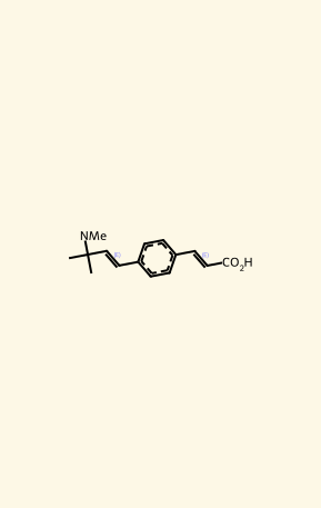 CNC(C)(C)/C=C/c1ccc(/C=C/C(=O)O)cc1